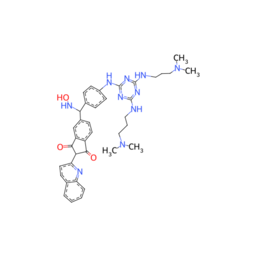 CN(C)CCCNc1nc(NCCCN(C)C)nc(Nc2ccc(C(NO)c3ccc4c(c3)C(=O)C(c3ccc5ccccc5n3)C4=O)cc2)n1